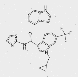 O=C(Nc1nccs1)c1cn(CC2CC2)c2cc(C(F)(F)F)ccc12.c1ccc2[nH]ccc2c1